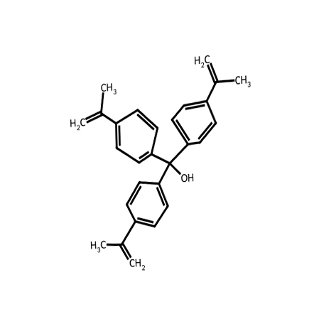 C=C(C)c1ccc(C(O)(c2ccc(C(=C)C)cc2)c2ccc(C(=C)C)cc2)cc1